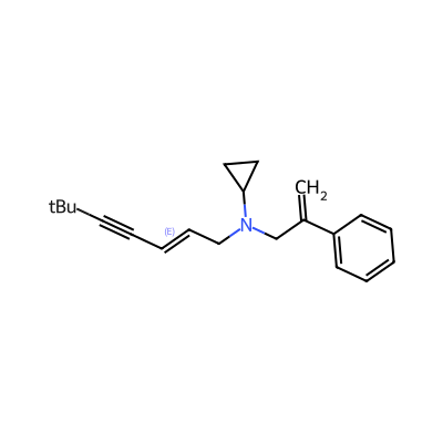 C=C(CN(C/C=C/C#CC(C)(C)C)C1CC1)c1ccccc1